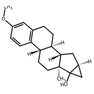 COc1ccc2c(c1)CC[C@@H]1[C@@H]2CC[C@@]2(C)[C@H]1C[C@H]1CC12O